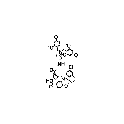 COc1ccc(CN(Cc2ccc(OC)cc2OC)S(=O)(=O)CCNCCC(=O)[C@@H]2CC[C@H]2CN2C[C@@]3(CCCc4cc(Cl)ccc43)COc3ccc(C(=O)O)cc32)c(OC)c1